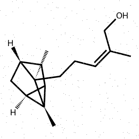 C/C(=C/CC[C@]1(C)[C@H]2CC3[C@H](C2)[C@@]31C)CO